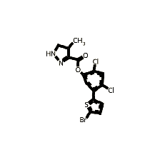 CC1CNN=C1C(=O)Oc1cc(-c2ccc(Br)s2)c(Cl)cc1Cl